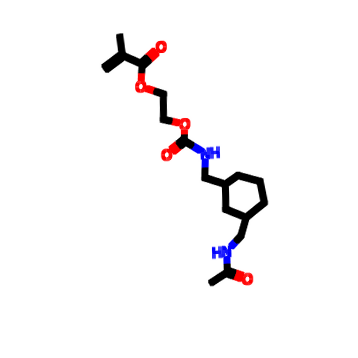 C=C(C)C(=O)OCCOC(=O)NCC1CCCC(CNC(C)=O)C1